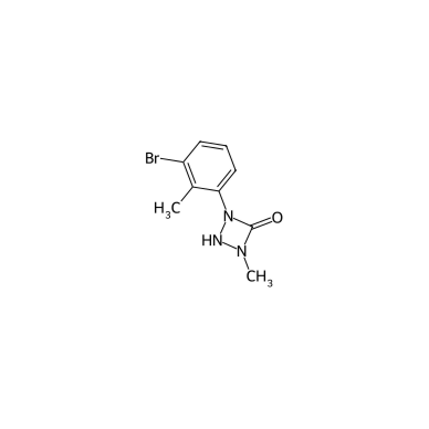 Cc1c(Br)cccc1-n1[nH]n(C)c1=O